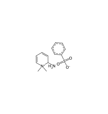 C[N+]1(C)C=CC=CC1N.O=S(=O)([O-])c1ccccc1